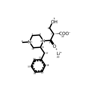 CN1CCN(C(=O)[C@H](CO)C(=O)[O-])C(Cc2ccccc2)C1.[Li+]